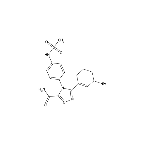 CC(C)C1C=C(c2nnc(C(N)=O)n2-c2ccc(NS(C)(=O)=O)cc2)CCC1